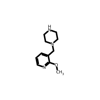 COc1ncccc1CN1CCNCC1